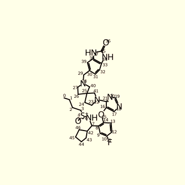 CCCC[S+]([O-])NC(c1cc(F)ccc1Oc1cncnc1N1CCC2(CCN(Cc3ccc4[nH]c(=O)[nH]c4c3)C2)C1)C1CCCC1